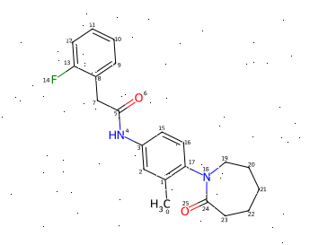 Cc1cc(NC(=O)Cc2ccccc2F)ccc1N1CCCCCC1=O